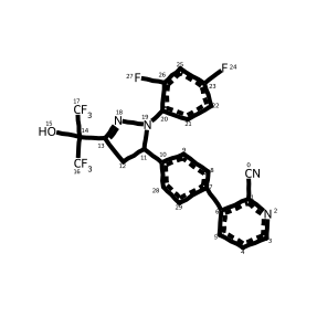 N#Cc1ncccc1-c1ccc(C2CC(C(O)(C(F)(F)F)C(F)(F)F)=NN2c2ccc(F)cc2F)cc1